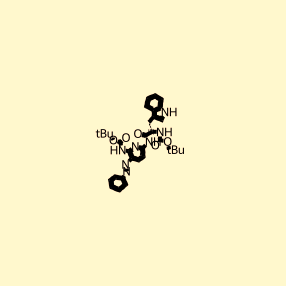 CC(C)(C)OC(=O)Nc1nc(NC(=O)[C@H](Cc2c[nH]c3ccccc23)NC(=O)OC(C)(C)C)ccc1N=Nc1ccccc1